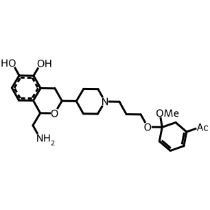 COC1(OCCCN2CCC(C3Cc4c(ccc(O)c4O)C(CN)O3)CC2)C=CC=C(C(C)=O)C1